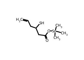 C=CCC(S)CC(=O)[O][Sn]([CH3])([CH3])[CH3]